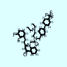 CCN(CC)CCN(Cc1ccc(-c2ccc(C(F)(F)F)cc2)cc1)C(=O)Cn1c(CCc2cccc(F)c2F)cc(=O)c2ccccc21